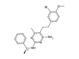 COc1ccc(CCc2c(C)nc(N[C@@H](C)c3ccccc3)nc2N)cc1Br